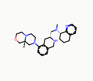 CN(C[C@H]1Cc2c(cccc2N2CCN3CCOC[C@H]3C2)CN1)[C@H]1CCCc2cccnc21